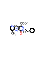 CC[N+]1(CCc2ccccc2)N=C(C(=O)[O-])C(C(C)=O)=C(Nc2cnccc2C)C1=O